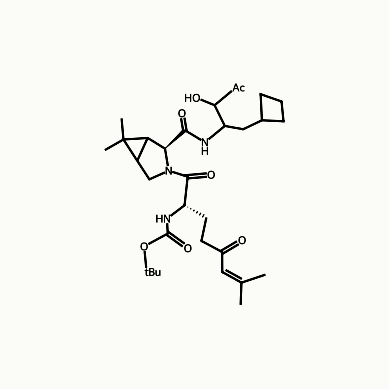 CC(=O)C(O)C(CC1CCC1)NC(=O)[C@@H]1C2C(CN1C(=O)[C@H](CCC(=O)C=C(C)C)NC(=O)OC(C)(C)C)C2(C)C